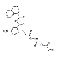 COC(=O)/C=C/C(=O)NNC(=O)CCc1ccc(N)cc1C(=O)NC(C)c1cccc2ccccc12